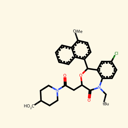 COc1ccc(C2OC(CC(=O)N3CCC(C(=O)O)CC3)C(=O)N(CC(C)(C)C)c3ccc(Cl)cc32)c2ccccc12